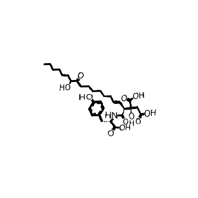 CCCCCCC(O)C(=O)CCCCCC/C=C/[C@H](C(=O)N[C@@H](Cc1ccc(O)cc1)C(=O)O)[C@@](O)(CC(=O)O)C(=O)O